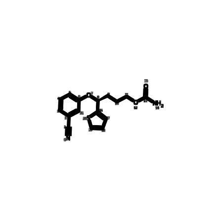 N#Cc1cccc(O[C@@H](CCCOC(N)=O)c2cccs2)c1